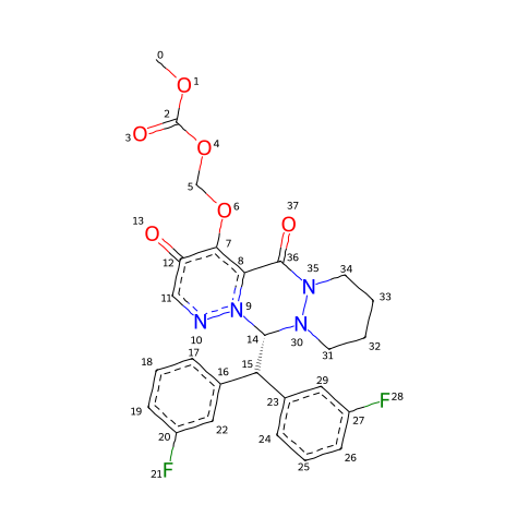 COC(=O)OCOc1c2n(ncc1=O)[C@@H](C(c1cccc(F)c1)c1cccc(F)c1)N1CCCCN1C2=O